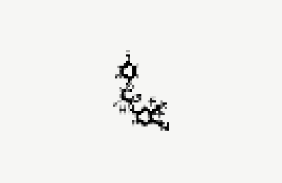 C[C@H](COc1ccc(F)cc1)C(=O)Nc1ccc(C#N)c(C(F)(F)F)c1